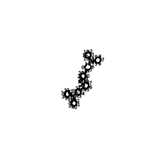 C1=CC(N(c2ccccc2)c2ccccc2)CC=C1c1ccc2sc3c(-c4ccc(N(c5ccccc5)c5ccccc5)cc4)cccc3c2c1